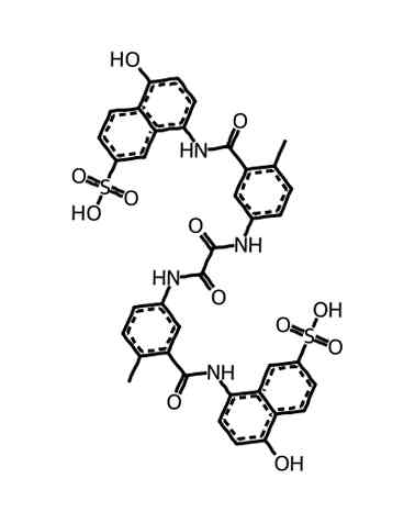 Cc1ccc(NC(=O)C(=O)Nc2ccc(C)c(C(=O)Nc3ccc(O)c4ccc(S(=O)(=O)O)cc34)c2)cc1C(=O)Nc1ccc(O)c2ccc(S(=O)(=O)O)cc12